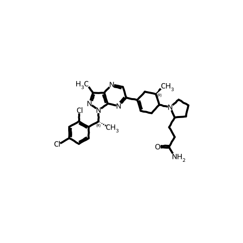 Cc1nn([C@H](C)c2ccc(Cl)cc2Cl)c2nc(C3=CCC(N4CCCC4CCC(N)=O)[C@H](C)C3)cnc12